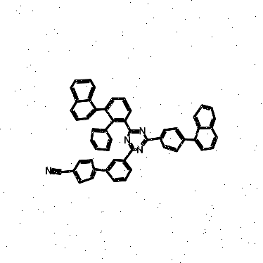 N#Cc1ccc(-c2cccc(-c3nc(-c4ccc(-c5cccc6ccccc56)cc4)nc(-c4cccc(-c5cccc6ccccc56)c4-c4ccccc4)n3)c2)cc1